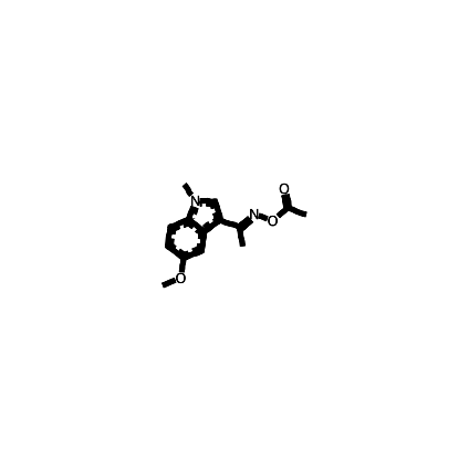 COc1ccc2c(c1)c(/C(C)=N/OC(C)=O)cn2C